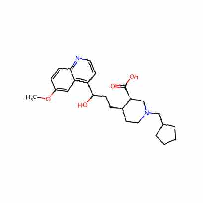 COc1ccc2nccc(C(O)CC[C@@H]3CCN(CC4CCCC4)C[C@@H]3C(=O)O)c2c1